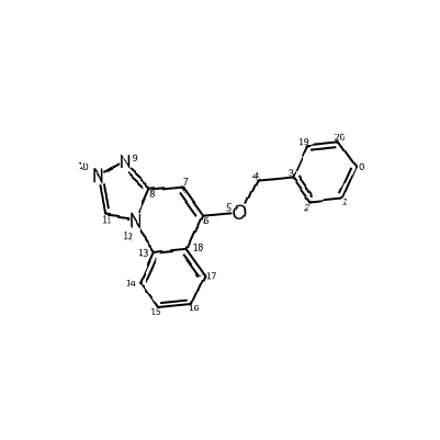 c1ccc(COc2cc3nncn3c3ccccc23)cc1